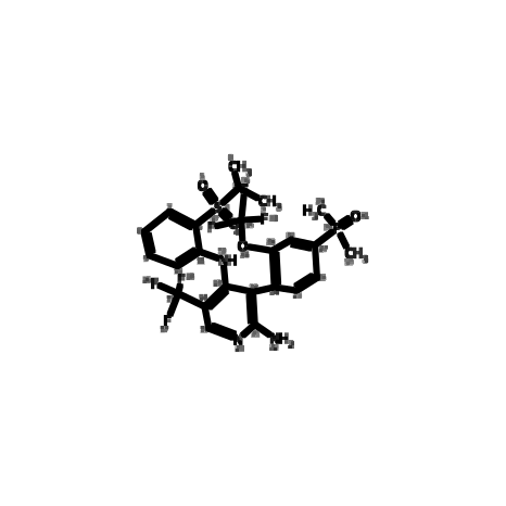 CC(C)S(=O)(=O)c1ccccc1Nc1c(C(F)(F)F)cnc(N)c1-c1ccc(P(C)(C)=O)cc1OC(F)(F)F